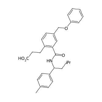 Cc1ccc(C(CC(C)C)NC(=O)c2cc(COc3ccccc3)ccc2CCC(=O)O)cc1